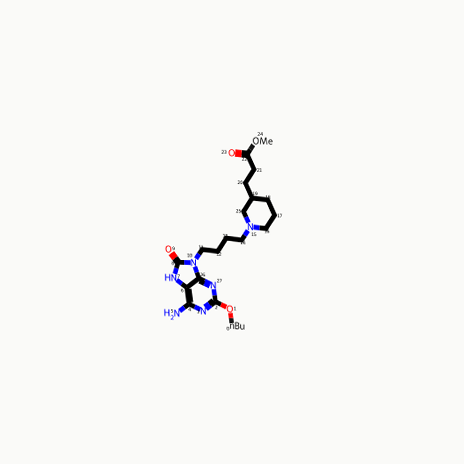 CCCCOc1nc(N)c2[nH]c(=O)n(CCCCN3CCCC(CCC(=O)OC)C3)c2n1